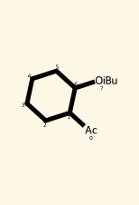 CC(=O)C1CCCCC1OCC(C)C